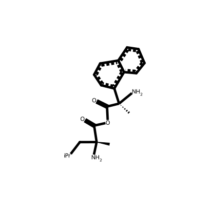 CC(C)C[C@@](C)(N)C(=O)OC(=O)[C@](C)(N)c1cccc2ccccc12